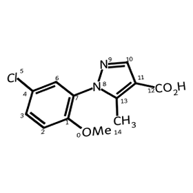 COc1ccc(Cl)cc1-n1ncc(C(=O)O)c1C